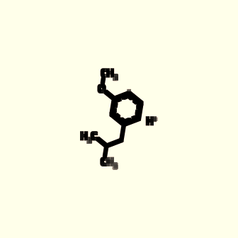 COc1[c]ccc(CC(C)C)c1.[H+]